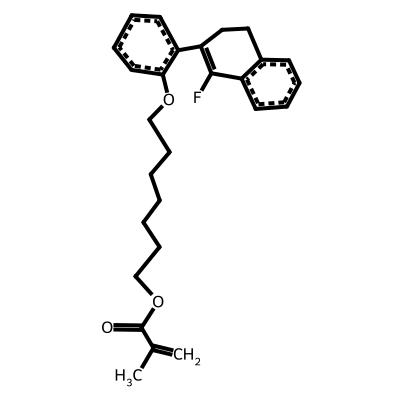 C=C(C)C(=O)OCCCCCCCOc1ccccc1C1=C(F)c2ccccc2CC1